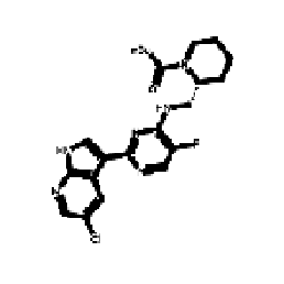 CCCCC(=O)N1CCCC[C@@H]1CNc1nc(-c2c[nH]c3ncc(Cl)cc23)ncc1F